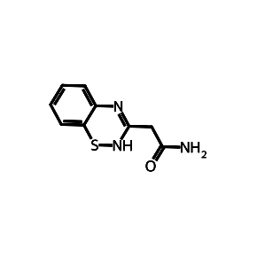 NC(=O)CC1=Nc2ccccc2SN1